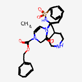 C.O=C(OCc1ccccc1)N1C=CN(C2(C3CCNCC3)Cc3ccc(cc3)S(=O)(=O)N2)C(=O)C1